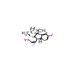 C=C[C@H]1C(/C=C\CI)[C@H]2CC=C(I)C=C2C1(C)C